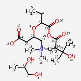 CC(O)CO.CCC(OC(CC(=O)[O-])C[N+](C)(C)C)C(=O)OC(=O)CC(C)(C)O